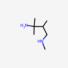 CNCC(C)C(C)(C)N